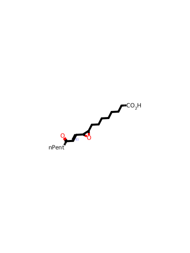 CCCCCC(=O)/C=C/C1OC1CCCCCCCC(=O)O